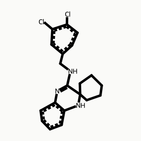 Clc1ccc(CNC2=Nc3ccccc3NC23CCCCC3)cc1Cl